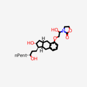 CCCCC[C@@H](O)CC[C@@H]1[C@H]2Cc3cccc(OCC(O)N4CCOC4=O)c3C[C@H]2C[C@H]1O